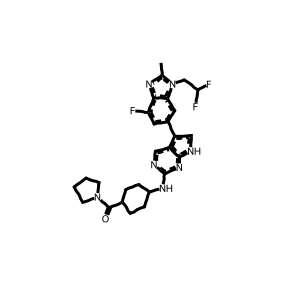 Cc1nc2c(F)cc(-c3c[nH]c4nc(NC5CCC(C(=O)N6CCCC6)CC5)ncc34)cc2n1CC(F)F